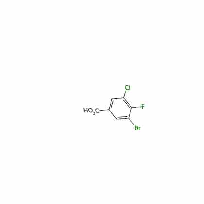 O=C(O)c1cc(Cl)c(F)c(Br)c1